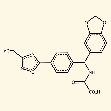 CCCCCCCCc1noc(-c2ccc(C(NC(=O)C(=O)O)c3ccc4c(c3)OCO4)cc2)n1